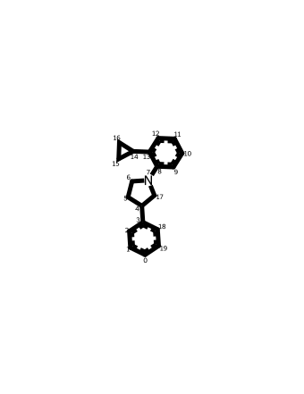 c1ccc(C2CCN(c3ccccc3C3CC3)C2)cc1